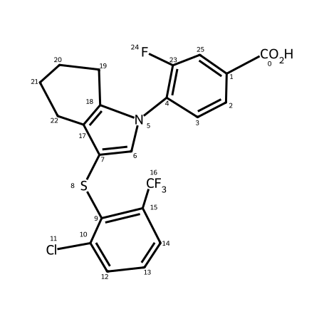 O=C(O)c1ccc(-n2cc(Sc3c(Cl)cccc3C(F)(F)F)c3c2CCCC3)c(F)c1